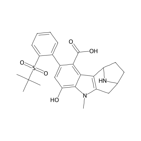 Cn1c2c(c3c(C(=O)O)c(-c4ccccc4S(=O)(=O)C(C)(C)C)cc(O)c31)C1CCC(C2)N1